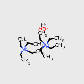 CC[N+](CC)(CC)CC.CC[N+](CC)(CC)CC.[H-].[OH-]